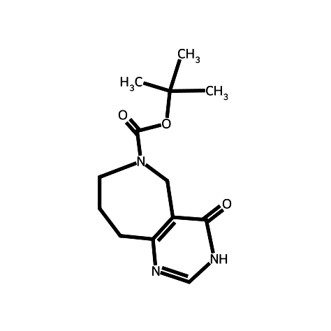 CC(C)(C)OC(=O)N1CCCc2nc[nH]c(=O)c2C1